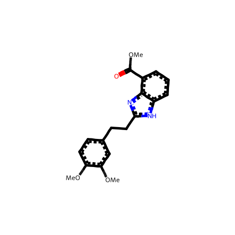 COC(=O)c1cccc2[nH]c(CCc3ccc(OC)c(OC)c3)nc12